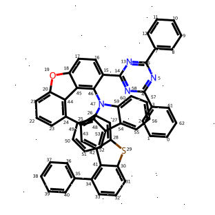 c1ccc(-c2nc(-c3ccccc3)nc(-c3ccc4oc5cccc(-c6ccc7sc8cccc(-c9ccccc9)c8c7c6)c5c4c3-n3c4ccccc4c4ccccc43)n2)cc1